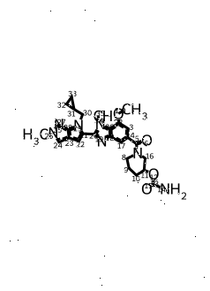 COc1cc(C(=O)N2CCCC(OC(N)=O)C2)cc2nc(-c3cc4cn(C)nc4n3CC3CC3)n(C)c12